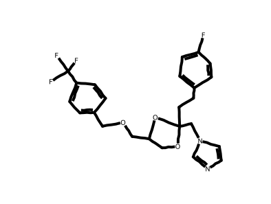 Fc1ccc(CCC2(Cn3ccnc3)OCC(COCc3ccc(C(F)(F)F)cc3)O2)cc1